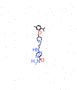 Cc1ccc(C(C)C)c(OCC2CCN(CCCNc3cnc(C(N)=O)cn3)CC2)c1